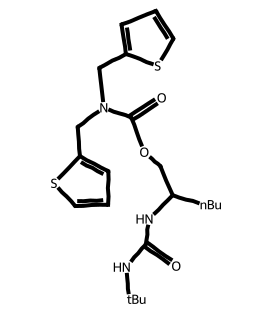 CCCCC(COC(=O)N(Cc1cccs1)Cc1cccs1)NC(=O)NC(C)(C)C